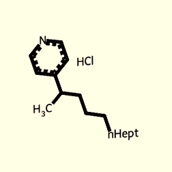 CCCCCCCCCCC(C)c1ccncc1.Cl